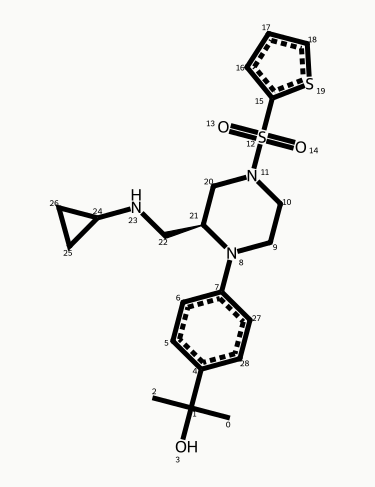 CC(C)(O)c1ccc(N2CCN(S(=O)(=O)c3cccs3)C[C@@H]2CNC2CC2)cc1